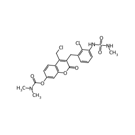 CNS(=O)(=O)Nc1cccc(Cc2c(CCl)c3ccc(OC(=O)N(C)C)cc3oc2=O)c1Cl